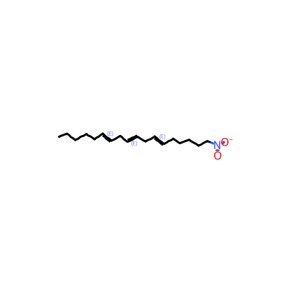 CCCCC/C=C/C/C=C/C/C=C/CCCCC[N+](=O)[O-]